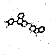 OCC(Cc1c[nH]c2ccccc12)Nc1ncc2c(n1)-c1ccccc1C(c1ccc(F)c(F)c1)C2